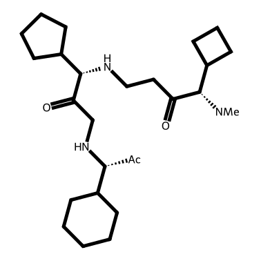 CN[C@H](C(=O)CCN[C@H](C(=O)CN[C@H](C(C)=O)C1CCCCC1)C1CCCC1)C1CCC1